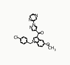 COc1ccc2c(c1)c(C(=O)c1cnn(-c3cnccn3)c1)cn2Cc1ccc(Cl)cc1